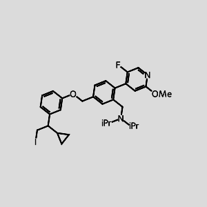 COc1cc(-c2ccc(COc3cccc(C(CI)C4CC4)c3)cc2CN(C(C)C)C(C)C)c(F)cn1